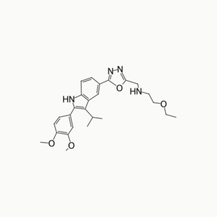 CCOCCNCc1nnc(-c2ccc3[nH]c(-c4ccc(OC)c(OC)c4)c(C(C)C)c3c2)o1